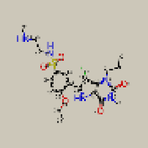 CCCn1c(=O)n(C)c(=O)c2[nH]c(-c3cc(S(=O)(=O)NCCNC)ccc3OCC)c(Cl)c21